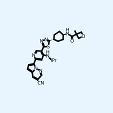 CC(C)Nc1cc(-c2ccc3cc(C#N)cnn23)ncc1-c1nnc([C@H]2CC[C@H](NC(=O)C3(C)COC3)CC2)s1